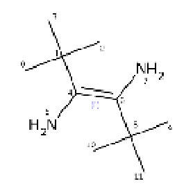 CC(C)(C)/C(N)=C(\N)C(C)(C)C